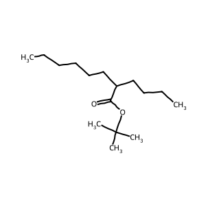 CCCCCCC(CCCC)C(=O)OC(C)(C)C